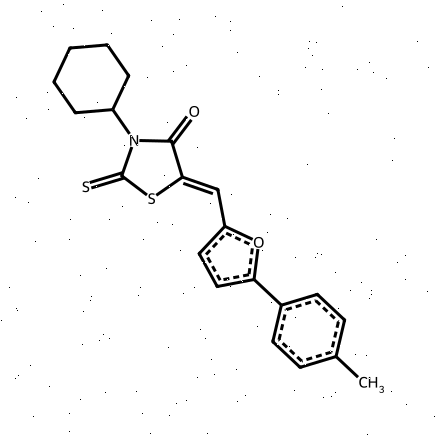 Cc1ccc(-c2ccc(/C=C3\SC(=S)N(C4CCCCC4)C3=O)o2)cc1